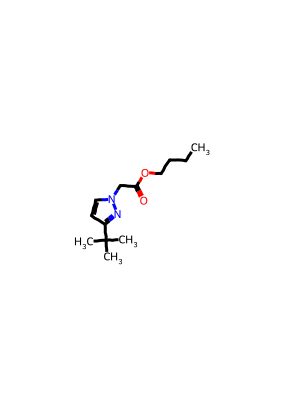 CCCCOC(=O)Cn1ccc(C(C)(C)C)n1